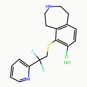 Cl.FC(F)(CSc1c(Cl)ccc2c1CCNCC2)c1ccccn1